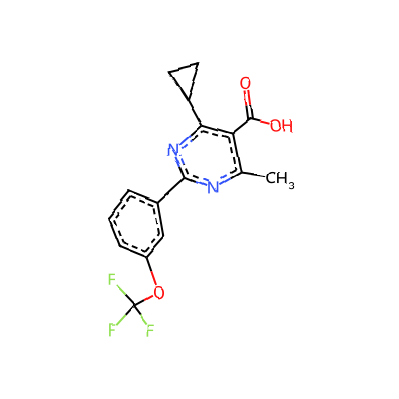 Cc1nc(-c2cccc(OC(F)(F)F)c2)nc(C2CC2)c1C(=O)O